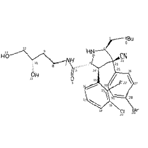 CC(C)(C)C[C@@H]1N[C@@H](C(=O)NCC[C@H](O)CO)[C@H](c2cccc(Cl)c2F)[C@@]1(C#N)c1ccc(Br)cc1